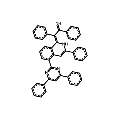 N=C(/C(=C1\NC(c2ccccc2)=Cc2c1cccc2-c1nc(-c2ccccc2)cc(-c2ccccc2)n1)c1ccccc1)c1ccccc1